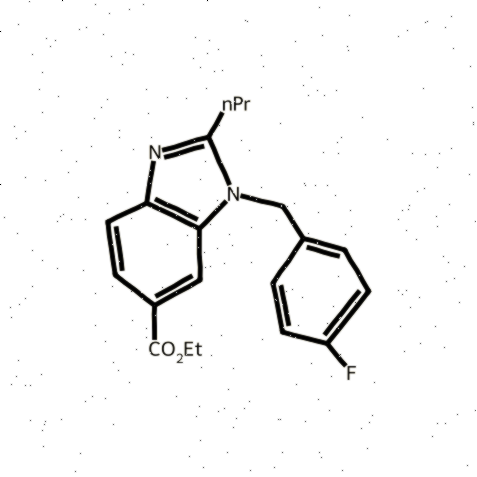 CCCc1nc2ccc(C(=O)OCC)cc2n1Cc1ccc(F)cc1